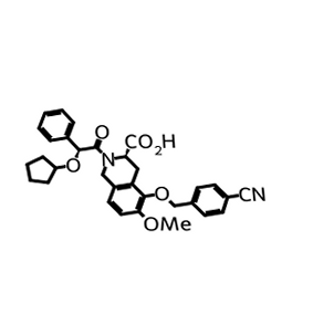 COc1ccc2c(c1OCc1ccc(C#N)cc1)C[C@H](C(=O)O)N(C(=O)[C@@H](OC1CCCC1)c1ccccc1)C2